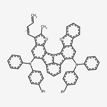 C=C/C=C\c1c(C)oc2c1cc(N(c1ccccc1)c1ccc(C(C)C)cc1)c1c3cccc4c5c(N(c6ccccc6)c6ccc(C(C)C)cc6)cc6c7ccccc7oc6c5n(c34)c21